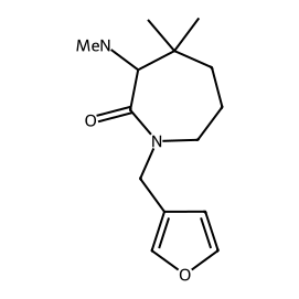 CNC1C(=O)N(Cc2ccoc2)CCCC1(C)C